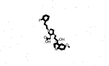 COc1ccc2nccc([C@@H](O)CC[C@@H]3CCN(CCCc4ccccc4F)C[C@@H]3CC(=O)O)c2c1